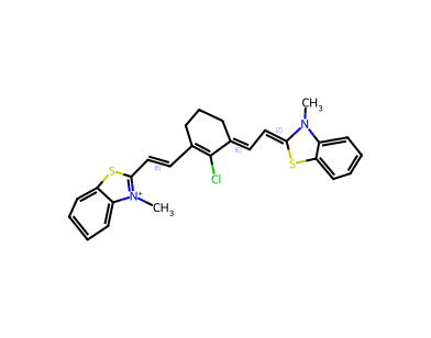 CN1/C(=C/C=C2\CCCC(/C=C/c3sc4ccccc4[n+]3C)=C2Cl)Sc2ccccc21